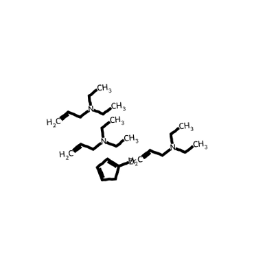 C=CCN(CC)CC.C=CCN(CC)CC.C=CCN(CC)CC.[Zr][C]1=CC=CC1